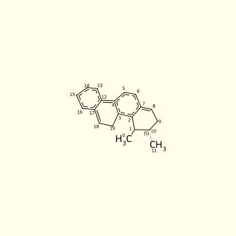 CC1c2c3c(ccc2=CC[C@@H]1C)=c1ccccc1=CC3